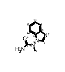 CN(C(N)=O)n1cnc2ccccc21